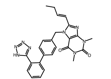 CCC=Cc1nc2c(c(=O)n(C)c(=O)n2C)n1Cc1ccc(-c2ccccc2-c2nnn[nH]2)cc1